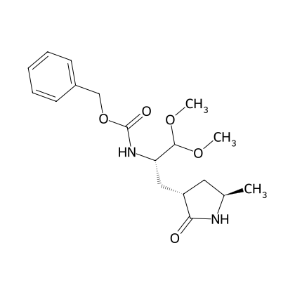 COC(OC)[C@H](C[C@@H]1C[C@@H](C)NC1=O)NC(=O)OCc1ccccc1